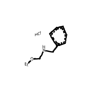 CCOCNCc1ccccc1.Cl